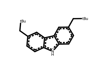 CC(C)(C)Cc1ccc2[nH]c3ccc(CC(C)(C)C)cc3c2c1